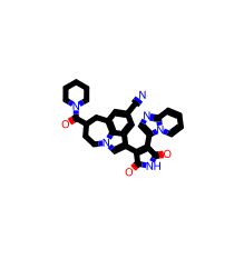 N#Cc1cc2c3c(c1)c(C1=C(c4cnc5ccccn45)C(=O)NC1=O)cn3CCC(C(=O)N1CCCCC1)C2